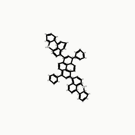 C1=CC2c3c(ccc4c(-c5ccccc5)cc(-c5ccc6c7c(cccc57)-c5ccccc5O6)c1c34)C(c1ccc3c4c(cccc14)-c1ccccc1O3)=CC2c1ccccc1